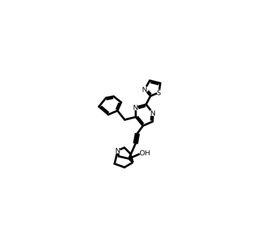 OC1(C#Cc2cnc(-c3nccs3)nc2Cc2ccccc2)CN2CCC1CC2